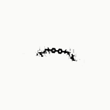 CC(C)C(NC(c1nc(-c2ccc(-c3ccc(-c4c[nH]c([C@H](N[C@H](C(=O)NC(=O)O)C(C)C)C(C)C)n4)cc3)cc2)c[nH]1)C(C)C)C(=O)NC(=O)O